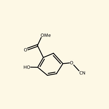 COC(=O)c1cc(OC#N)ccc1O